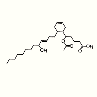 CCCCCCCCC(O)/C=C/C=C/C1CC=CCC1C(CCCC(=O)O)OC(C)=O